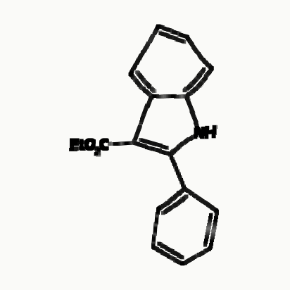 CCOC(=O)c1c(-c2ccccc2)[nH]c2ccccc12